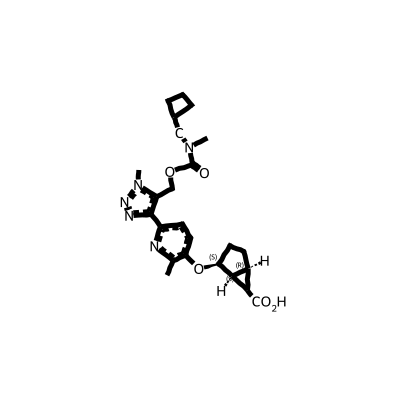 Cc1nc(-c2nnn(C)c2COC(=O)N(C)CC2CCC2)ccc1O[C@H]1CC[C@H]2C(C(=O)O)[C@@H]12